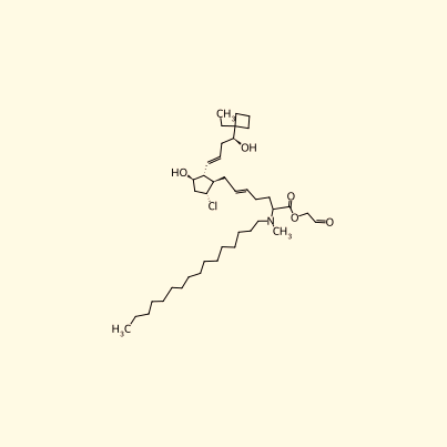 CCCCCCCCCCCCCCCCN(C)C(CCC=CC[C@@H]1[C@@H](C=CC[C@H](O)C2(CC)CCC2)[C@H](O)C[C@H]1Cl)C(=O)OCC=O